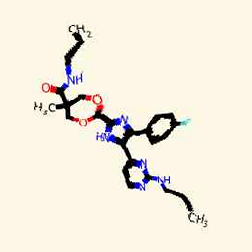 C=CCNC(=O)C1(C)COC(c2nc(-c3ccc(F)cc3)c(-c3ccnc(NCCC)n3)[nH]2)OC1